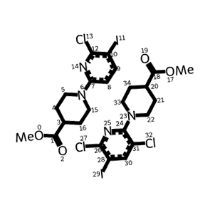 COC(=O)C1CCN(c2ccc(I)c(Cl)n2)CC1.COC(=O)C1CCN(c2nc(Cl)c(I)cc2Cl)CC1